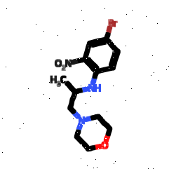 CC(CN1CCOCC1)Nc1ccc(Br)cc1[N+](=O)[O-]